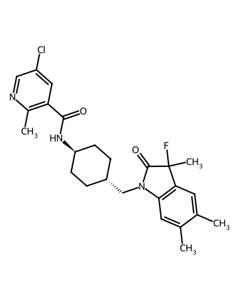 Cc1cc2c(cc1C)C(C)(F)C(=O)N2C[C@H]1CC[C@H](NC(=O)c2cc(Cl)cnc2C)CC1